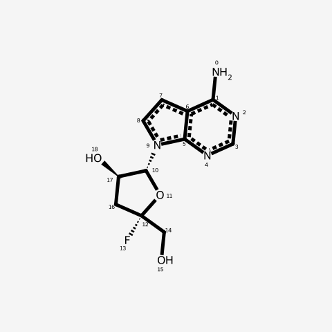 Nc1ncnc2c1ccn2[C@@H]1O[C@@](F)(CO)C[C@H]1O